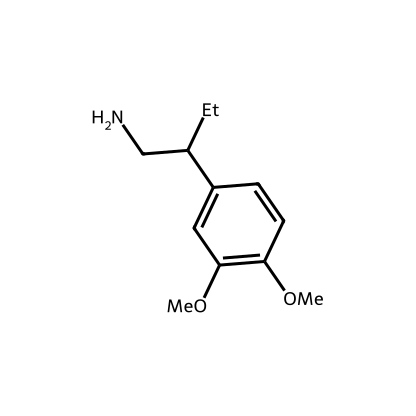 CCC(CN)c1ccc(OC)c(OC)c1